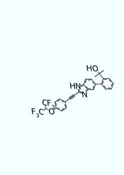 CC(C)(O)c1ccccc1-c1ccc2[nH]c(C#Cc3ccc(OC(C(F)(F)F)C(F)(F)F)cc3)nc2c1